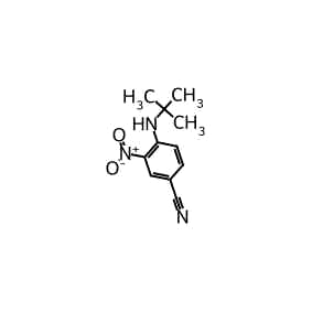 CC(C)(C)Nc1ccc(C#N)cc1[N+](=O)[O-]